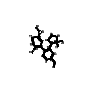 CCc1ccc(-c2cc(OC)ccc2F)c(C2CCCC2(C)C)c1